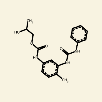 Cc1ccc(NC(=O)OCC(C)O)cc1NC(=O)Nc1ccccc1